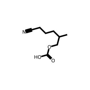 CC(CCCC#N)COC(=O)O